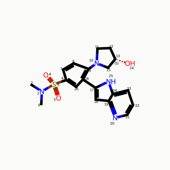 CN(C)S(=O)(=O)c1ccc(N2CC[C@H](O)C2)c(-c2cc3ncccc3[nH]2)c1